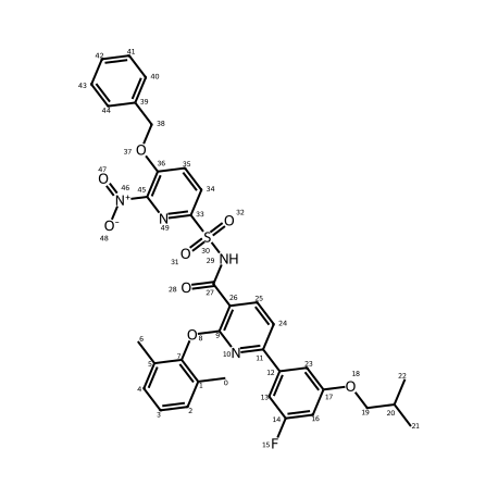 Cc1cccc(C)c1Oc1nc(-c2cc(F)cc(OCC(C)C)c2)ccc1C(=O)NS(=O)(=O)c1ccc(OCc2ccccc2)c([N+](=O)[O-])n1